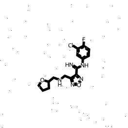 N=C(Nc1ccc(F)c(Cl)c1)c1nonc1CNCC1CCCO1